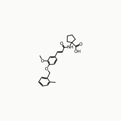 COc1cc(C=CC(=O)NC2(C(=O)O)CCCC2)ccc1OCc1ccccc1C